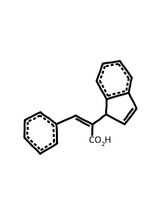 O=C(O)C(=Cc1ccccc1)C1C=Cc2ccccc21